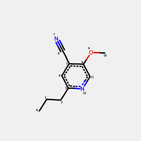 CCCc1cc(C#N)c(OC)cn1